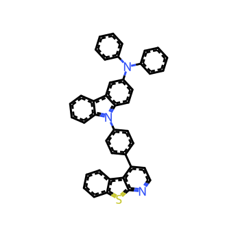 c1ccc(N(c2ccccc2)c2ccc3c(c2)c2ccccc2n3-c2ccc(-c3ccnc4sc5ccccc5c34)cc2)cc1